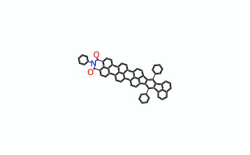 O=C1c2ccc3c4ccc5c6ccc7c8c(-c9ccccc9)c9c%10cccc%11cccc(c9c(-c9ccccc9)c8c8ccc(c9ccc(c%12ccc(c2c3%12)C(=O)N1c1ccccc1)c4c59)c6c78)c%11%10